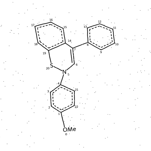 COc1ccc(N2C=C(c3ccccc3)c3ccccc3S2)cc1